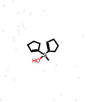 C[Si](O)(C1=CCCC1)C1=CCCC1